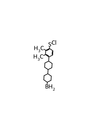 BC1CCC(C2CCC(c3ccc(SCl)c(C)c3C)CC2)CC1